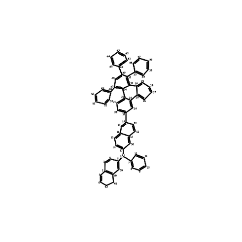 C1=Cc2ccc(N(c3ccccc3)c3ccc4cc(-c5ccc6c(c5)c5ccccc5c5c(-c7ccccc7)c(-c7ccccc7)cc(-c7ccccc7)c65)ccc4c3)cc2CC1